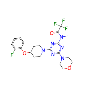 CN(C(=O)C(F)(F)F)c1nc(N2CCOCC2)nc(N2CCC(Oc3ccccc3F)CC2)n1